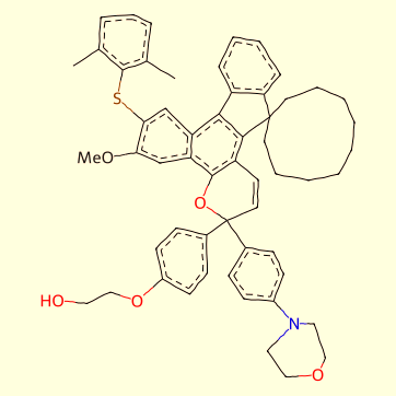 COc1cc2c3c(c4c(c2cc1Sc1c(C)cccc1C)-c1ccccc1C41CCCCCCCCC1)C=CC(c1ccc(OCCO)cc1)(c1ccc(N2CCOCC2)cc1)O3